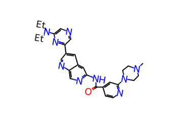 CCN(CC)c1cncc(-c2cnc3cnc(NC(=O)c4ccnc(N5CCN(C)CC5)c4)cc3c2)n1